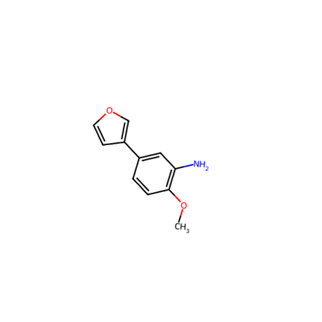 COc1ccc(-c2ccoc2)cc1N